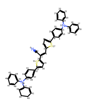 N#C/C(=C\c1ccc(-c2ccc(N(c3ccccc3)c3ccccc3)cc2)s1)c1ccc(-c2ccc(N(C3=CCCC=C3)c3ccccc3)cc2)s1